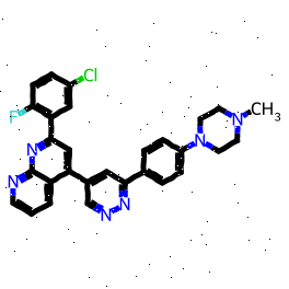 CN1CCN(c2ccc(-c3cc(-c4cc(-c5cc(Cl)ccc5F)nc5ncccc45)cnn3)cc2)CC1